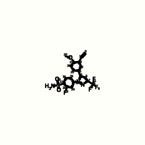 C#Cc1cc(-c2cc(C(F)(F)F)nn2-c2ccc(S(N)(=O)=O)c(F)c2)ccc1OC